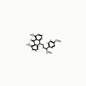 COc1ccc(C(CCC2c3cccc(O)c3C(=O)c3c(O)cccc32)OC)cc1